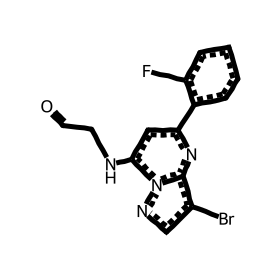 O=CCNc1cc(-c2ccccc2F)nc2c(Br)cnn12